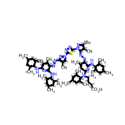 Cc1cc(C)c(Nc2nc(Nc3c(C)cc(C)cc3C)c(N=Nc3nn(-c4nnc(-n5nc(C(C)(C)C)c(C#N)c5N=Nc5c(C)cc(N(CCCC(=O)O)c6c(C)cc(C)cc6C)nc5Nc5c(C)cc(C)cc5C)s4)cc3C#N)c(C)c2C#N)c(C)c1